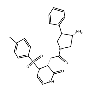 Cc1ccc(S(=O)(=O)N2C=CNC(=O)[C@H]2CC(=O)N2CC(c3ccccc3)[C@H](N)C2)cc1